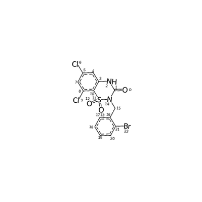 O=C1Nc2cc(Cl)cc(Cl)c2S(=O)(=O)N1Cc1ccccc1Br